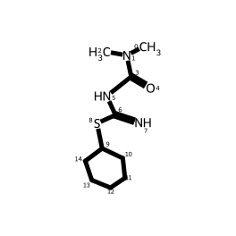 CN(C)C(=O)NC(=N)SC1CCCCC1